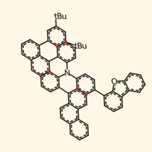 CC(C)(C)c1cc(-c2cccc3cccc(-c4ccccc4N(c4ccc(-c5cccc6c5oc5ccccc56)cc4)c4ccccc4-c4cccc5c4ccc4ccccc45)c23)cc(C(C)(C)C)c1